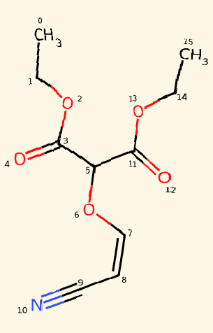 CCOC(=O)C(O/C=C\C#N)C(=O)OCC